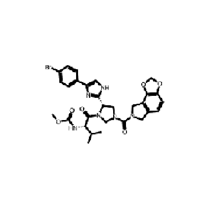 COC(=O)N[C@H](C(=O)N1CN(C(=O)N2Cc3ccc4c(c3C2)OCO4)C[C@H]1c1nc(-c2ccc(Br)cc2)c[nH]1)C(C)C